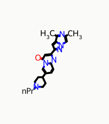 CCCN1CCC(c2ccc3nc(-c4cc5c(C)nc(C)cn5n4)cc(=O)n3c2)CC1